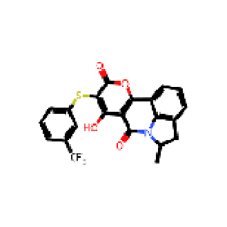 CC1Cc2cccc3c4oc(=O)c(Sc5cccc(C(F)(F)F)c5)c(O)c4c(=O)n1c23